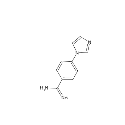 N=C(N)c1ccc(-n2ccnc2)cc1